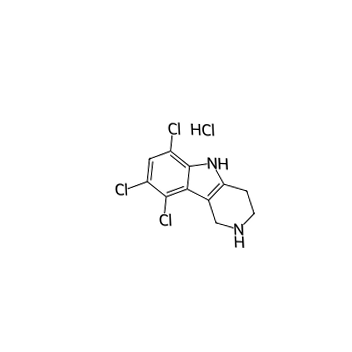 Cl.Clc1cc(Cl)c2[nH]c3c(c2c1Cl)CNCC3